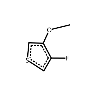 COc1[c]scc1F